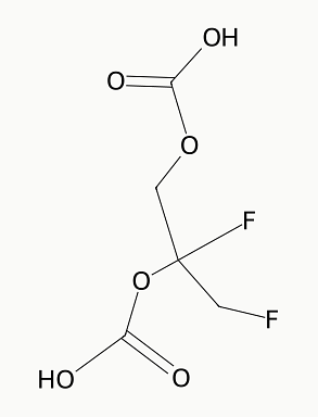 O=C(O)OCC(F)(CF)OC(=O)O